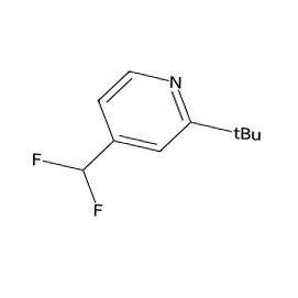 CC(C)(C)c1cc(C(F)F)ccn1